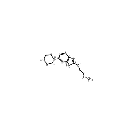 COCCOc1nc2ccc(N3CCOCC3)cc2[nH]1